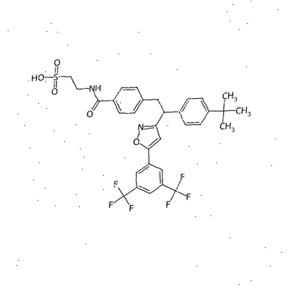 CC(C)(C)c1ccc(C(Cc2ccc(C(=O)NCCS(=O)(=O)O)cc2)c2cc(-c3cc(C(F)(F)F)cc(C(F)(F)F)c3)on2)cc1